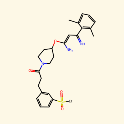 CCS(=O)(=O)c1cccc(CCC(=O)N2CCC(O/C(N)=C/C(=N)c3c(C)cccc3C)CC2)c1